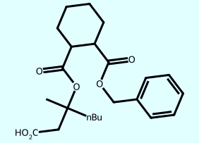 CCCCC(C)(CC(=O)O)OC(=O)C1CCCCC1C(=O)OCc1ccccc1